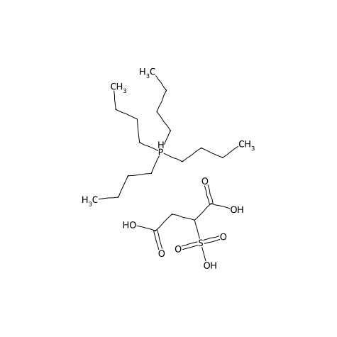 CCCC[PH](CCCC)(CCCC)CCCC.O=C(O)CC(C(=O)O)S(=O)(=O)O